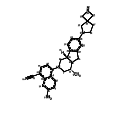 Bc1ccc2c(N3C[C@@H](C)N4Cc5nc(N6CCC7(CNC7)C6)ccc5[C@H]4C3)ccc(C#N)c2n1